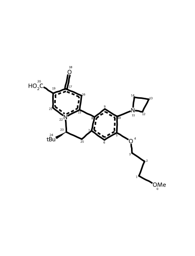 COCCCOc1cc2c(cc1N1CCC1)-c1cc(=O)c(C(=O)O)cn1[C@H](C(C)(C)C)C2